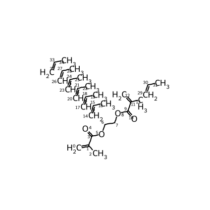 C=C(C)C(=O)OCCOC(=O)C(=C)C.C=CC.C=CC.C=CC.C=CC.C=CC.C=CC.C=CC